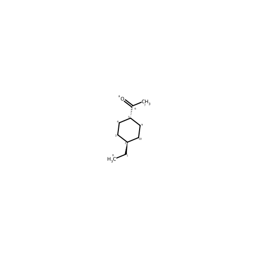 CC[C@H]1CC[C@H](C(C)=O)CC1